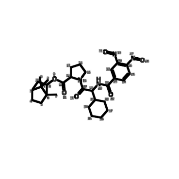 CC1(C)C2CCC1(C)C(OC(=O)C1CCCN1C(=O)C(NC(=O)c1ccc(N=O)c(N=O)c1)C1CCCCC1)C2